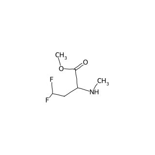 CNC(CC(F)F)C(=O)OC